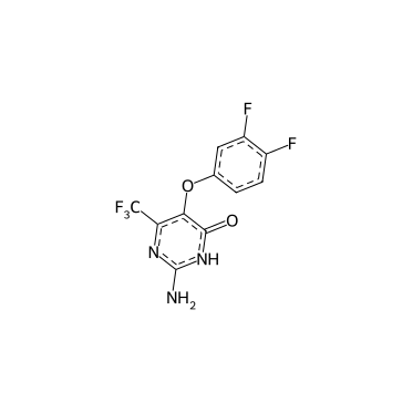 Nc1nc(C(F)(F)F)c(Oc2ccc(F)c(F)c2)c(=O)[nH]1